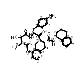 C[C@@H](C(=O)N[C@@H](Cc1ccc(N)cc1)C(=O)N1Cc2ccccc2C[C@H]1C(=O)N[C@@H]1CCCc2ccccc21)N(C)C(=O)O